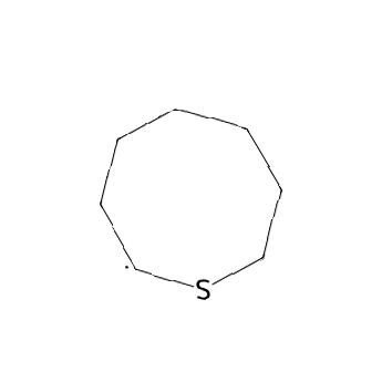 [CH]1CCCCCCS1